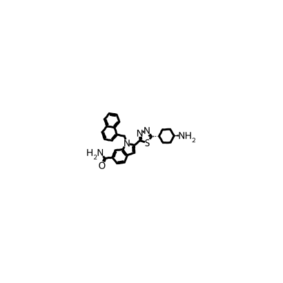 NC(=O)c1ccc2cc(-c3nnc([C@H]4CC[C@H](N)CC4)s3)n(Cc3cccc4ccccc34)c2c1